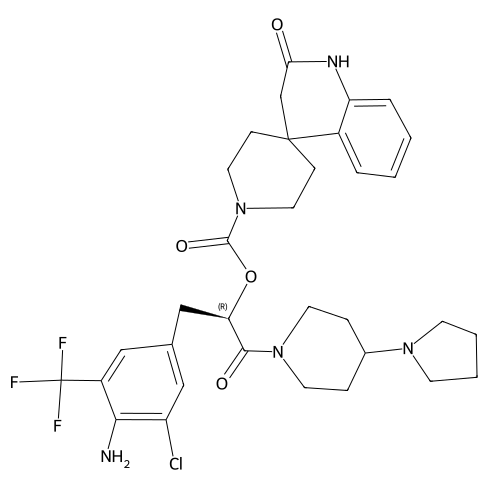 Nc1c(Cl)cc(C[C@@H](OC(=O)N2CCC3(CC2)CC(=O)Nc2ccccc23)C(=O)N2CCC(N3CCCC3)CC2)cc1C(F)(F)F